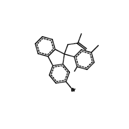 C=C(C)CC1(c2cc(C)ccc2C)c2ccccc2-c2ccc(Br)cc21